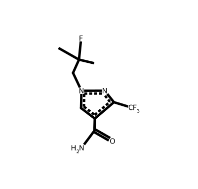 CC(C)(F)Cn1cc(C(N)=O)c(C(F)(F)F)n1